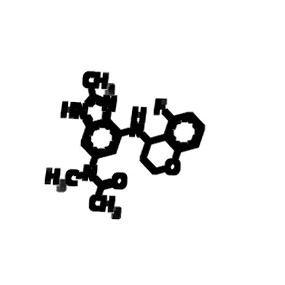 CC(=O)N(C)c1cc(NC2CCOc3cccc(F)c32)c2nc(C)[nH]c2c1